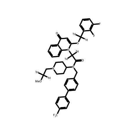 [2H]C([2H])(CN1CCC(N(Cc2ccc(-c3ccc(C(F)(F)F)cc3)cc2)C(=O)C([2H])([2H])n2c(SC([2H])([2H])c3cccc(F)c3F)cc(=O)c3ccccc32)CC1)OC